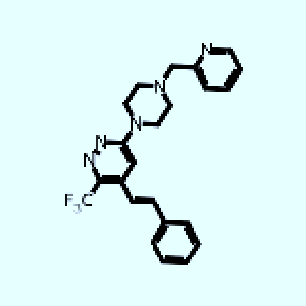 FC(F)(F)c1nnc(N2CCN(Cc3ccccn3)CC2)cc1C=Cc1ccccc1